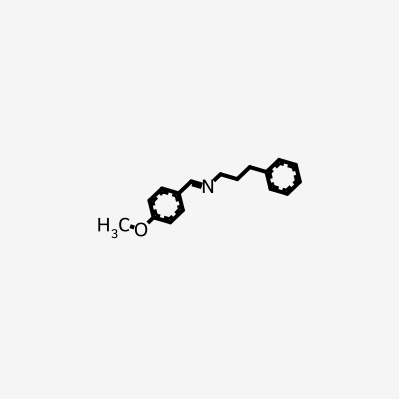 COc1ccc(/C=N/CCCc2ccccc2)cc1